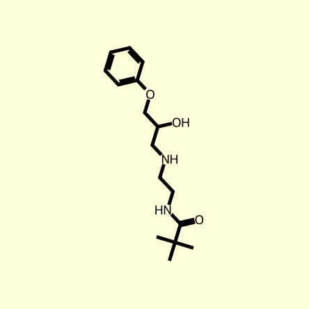 CC(C)(C)C(=O)NCCNCC(O)COc1ccccc1